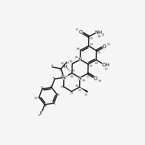 CC(C)[N+]1(Cc2ccc(F)cc2)CC[C@H](C)N2C(=O)c3c(O)c(=O)c(C(N)=O)cn3C[C@@H]21